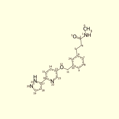 CNC(=O)CCc1cccc(COc2ccc(-c3ccn[nH]3)nc2)c1